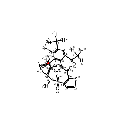 [2H]c1c(C([2H])([2H])[2H])cc(C(=O)C([2H])([2H])[2H])c(N([2H])C(=O)c2sccc2S(=O)(=O)N([2H])c2onc(C)c2C)c1C([2H])([2H])[2H]